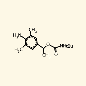 Cc1cc(C(C)OC(=O)NC(C)(C)C)cc(C)c1N